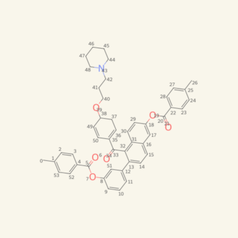 Cc1ccc(C(=O)Oc2cccc(-c3ccc4cc(OC(=O)c5ccc(C)cc5)ccc4c3C(=O)C3=CCC(OCCCN4CCCCC4)C=C3)c2)cc1